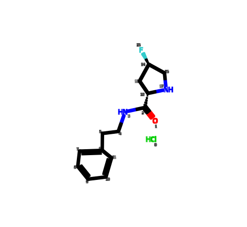 Cl.O=C(NCCc1ccccc1)[C@@H]1C[C@@H](F)CN1